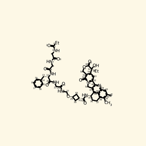 CCC(=O)NCC(=O)NCC(=O)N[C@@H](Cc1ccccc1)C(=O)NCC(=O)NCO[C@H]1C[C@@H](C(=O)N[C@H]2CCc3c(C)c(F)cc4nc5c(c2c34)Cn2c-5cc3c(c2=O)COC(=O)[C@]3(O)CC)C1